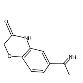 CC(=N)c1ccc2c(c1)NC(=O)CO2